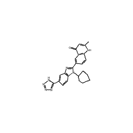 Cc1cc(=O)c2cc(-c3nc4cc(-c5nnn[nH]5)ccc4n3C3CCCCC3)ccc2[nH]1